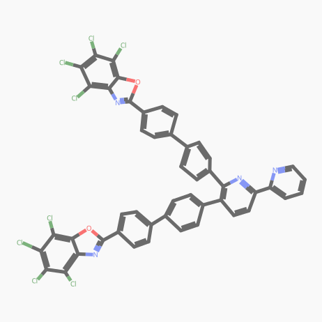 Clc1c(Cl)c(Cl)c2oc(-c3ccc(-c4ccc(-c5ccc(-c6ccccn6)nc5-c5ccc(-c6ccc(-c7nc8c(Cl)c(Cl)c(Cl)c(Cl)c8o7)cc6)cc5)cc4)cc3)nc2c1Cl